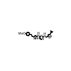 COc1ccc(CCc2cc(Nc3ccnc(NCc4cc(C5CC5)no4)n3)[nH]n2)cc1